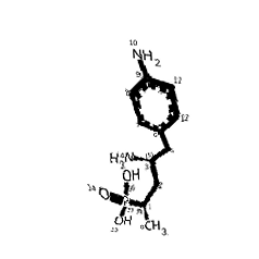 C[C@H](C[C@@H](N)Cc1ccc(N)cc1)P(=O)(O)O